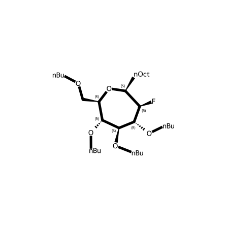 CCCCCCCC[C@@H]1O[C@H](COCCCC)[C@@H](OCCCC)[C@H](OCCCC)[C@@H](OCCCC)[C@@H]1F